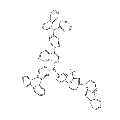 CC1(C)c2cc(-c3cccc4c3sc3ccccc34)ccc2-c2ccc(N(c3ccc4c5ccccc5c5ccccc5c4c3)c3ccc(-c4ccc(N(c5ccccc5)c5cccc6ccccc56)cc4)c4ccccc34)cc21